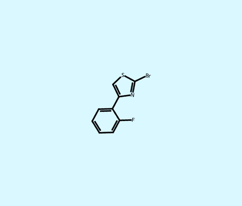 Fc1ccccc1-c1csc(Br)n1